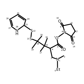 CCN(C)CC(C(=O)ON1C(=O)CCC1=O)C(C)(C)C(C)(C)SSC1C=CC=CN1